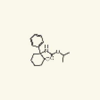 CC(C)OC(=O)NC1(c2ccccc2)CCCCC1=O